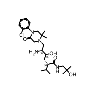 CC(C)[C@H](C[C@H](O)[C@@H](N)CN1CC(=O)N(c2ccccc2Cl)CC1(C)C)C(=O)NCC(C)(C)O